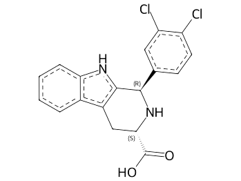 O=C(O)[C@@H]1Cc2c([nH]c3ccccc23)[C@@H](c2ccc(Cl)c(Cl)c2)N1